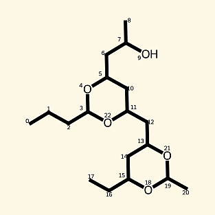 CCCC1OC(CC(C)O)CC(CC2CC(CC)OC(C)O2)O1